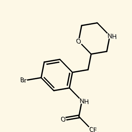 O=C(Nc1cc(Br)ccc1CC1CNCCO1)C(F)(F)F